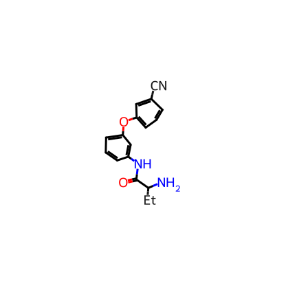 CCC(N)C(=O)Nc1cccc(Oc2cccc(C#N)c2)c1